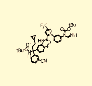 CC(C)(C)OC(=O)N(C=N)c1cccc(-n2nc(C(F)(F)F)cc2C(=O)Nc2cc(C(CCC3CC3)(N[S@+]([O-])C(C)(C)C)c3cccc(C#N)c3)ccc2F)c1